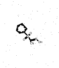 N#C/C(=N\O)S(=O)(=O)c1ccccc1